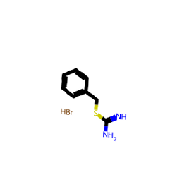 Br.N=C(N)SCc1ccccc1